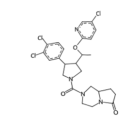 CC(Oc1ccc(Cl)cn1)C1CN(C(=O)N2CCN3C(=O)CCC3C2)CC1c1ccc(Cl)c(Cl)c1